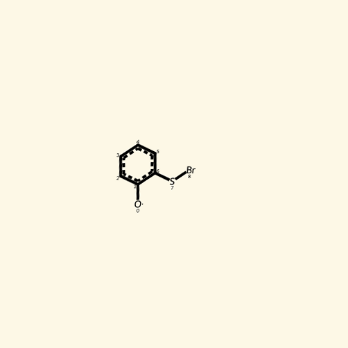 [O]c1ccccc1SBr